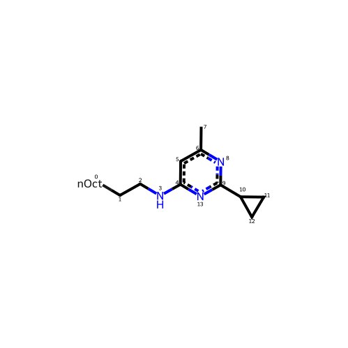 CCCCCCCCCCNc1cc(C)nc(C2CC2)n1